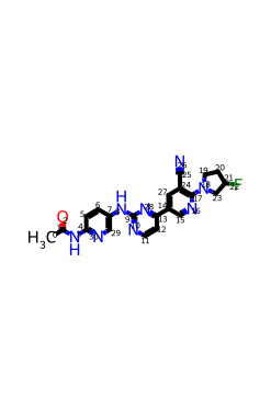 CC(=O)Nc1ccc(Nc2nccc(-c3cnc(N4CCC(F)C4)c(C#N)c3)n2)cn1